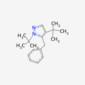 CC(C)(C)c1cnn(C(C)(C)C)c1Cc1ccccc1